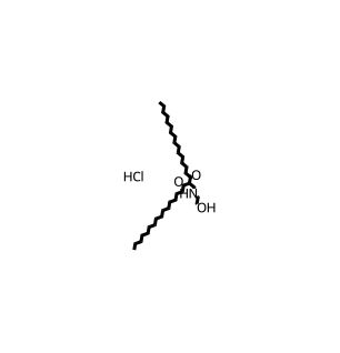 CCCCCCCCCCCCCCCC(=O)C(CNCCO)C(=O)CCCCCCCCCCCCCCC.Cl